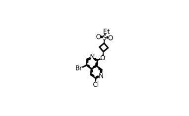 CCS(=O)(=O)[C@H]1C[C@@H](Oc2ncc(Br)c3cc(Cl)ncc23)C1